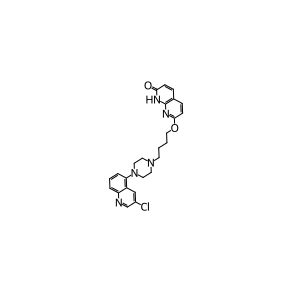 O=c1ccc2ccc(OCCCCN3CCN(c4cccc5ncc(Cl)cc45)CC3)nc2[nH]1